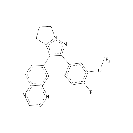 Fc1ccc(-c2nn3c(c2-c2ccc4nccnc4c2)CCC3)cc1OC(F)(F)F